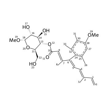 C=C/C(C)=C/C=C(/C(C)=C/C(=O)O[C@H]1[C@H](O)[C@@H](O)[C@@H](OC)O[C@@H]1CO)c1c(C)cc(OC)c(C)c1C